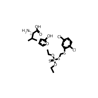 CC(C)[C@H](N)C(=O)O.CCOP(=S)(OCC)SCSc1cc(Cl)ccc1Cl.Oc1ccco1